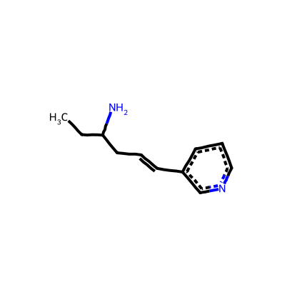 CCC(N)C/C=C/c1cccnc1